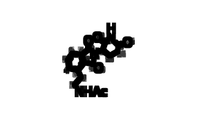 CC(=O)NCCc1cccc2c1C(=O)N(C1CCC(=O)NC1=O)C2=O